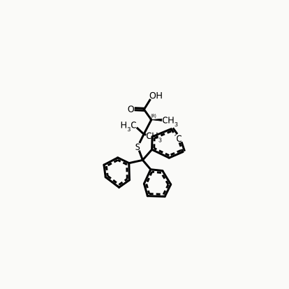 C[C@H](C(=O)O)C(C)(C)SC(c1ccccc1)(c1ccccc1)c1ccccc1